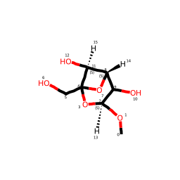 CO[C@H]1OC2(CO)O[C@@H](C1O)[C@@H]2O